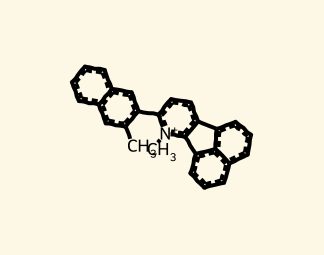 Cc1cc2ccccc2cc1-c1ccc2c([n+]1C)-c1cccc3cccc-2c13